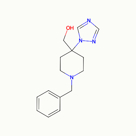 OCC1(n2cncn2)CCN(Cc2ccccc2)CC1